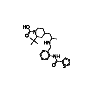 CC(CC1CCN(C(=O)O)C(C(C)(C)C)C1)NCc1ccccc1NC(=O)c1cccs1